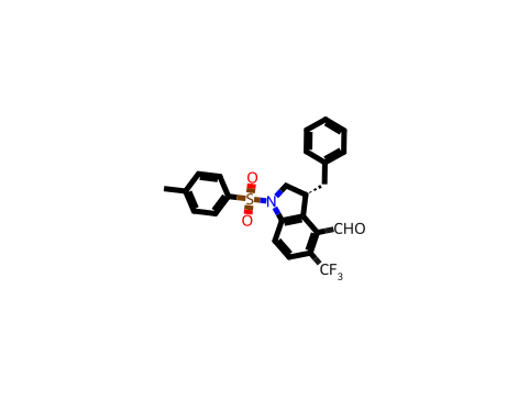 Cc1ccc(S(=O)(=O)N2C[C@H](Cc3ccccc3)c3c2ccc(C(F)(F)F)c3C=O)cc1